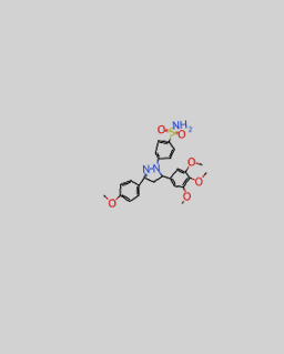 COc1ccc(C2=NN(c3ccc(S(N)(=O)=O)cc3)C(c3cc(OC)c(OC)c(OC)c3)C2)cc1